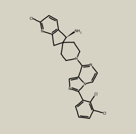 N[C@@H]1c2ccc(Cl)nc2CC12CCN(c1nccn3c(-c4cccc(Cl)c4Cl)ncc13)CC2